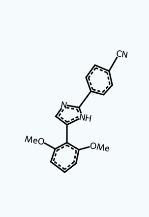 COc1cccc(OC)c1-c1cnc(-c2ccc(C#N)cc2)[nH]1